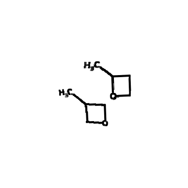 CC1CCO1.CC1COC1